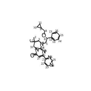 CC1(C)CN(CC(OCC2CC2)c2ccccc2)c2nc(-c3ccncn3)cc(=O)n2C1